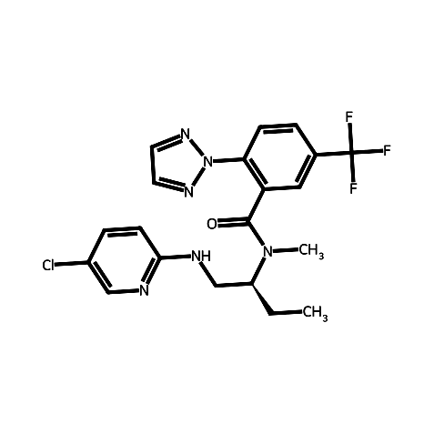 CC[C@@H](CNc1ccc(Cl)cn1)N(C)C(=O)c1cc(C(F)(F)F)ccc1-n1nccn1